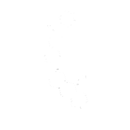 C[C@@H](c1ccccc1)N1C[C@@H](c2ccc(OS(=O)(=O)c3ccccc3)cc2)OCC1=O